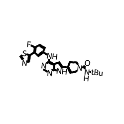 CC(C)(C)NC(=O)N1CC=C(c2cc3c(Nc4ccc(F)c(-c5cncs5)c4)ncnc3[nH]2)CC1